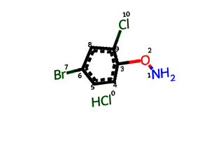 Cl.NOc1ccc(Br)cc1Cl